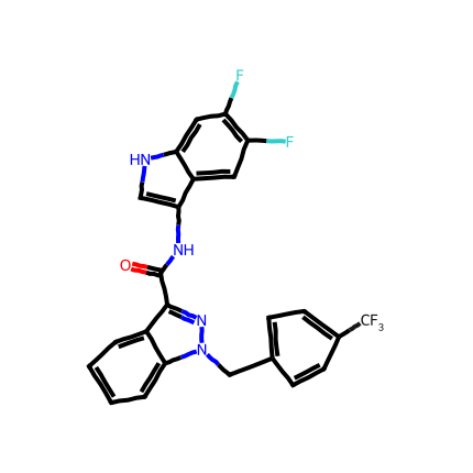 O=C(Nc1c[nH]c2cc(F)c(F)cc12)c1nn(Cc2ccc(C(F)(F)F)cc2)c2ccccc12